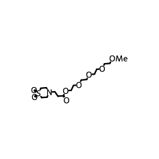 COCCOCCOCCOCCOC(=O)CCN1CCS(=O)(=O)CC1